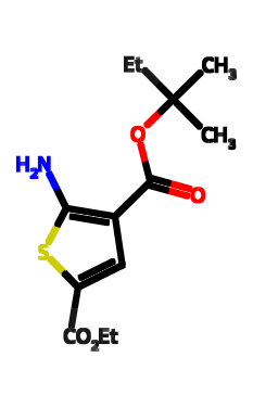 CCOC(=O)c1cc(C(=O)OC(C)(C)CC)c(N)s1